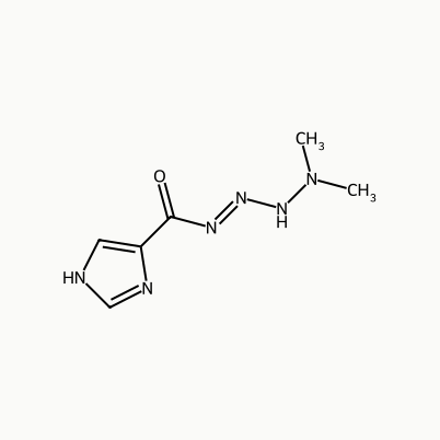 CN(C)N/N=N/C(=O)c1c[nH]cn1